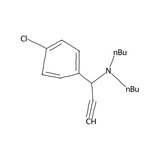 C#CC(c1ccc(Cl)cc1)N(CCCC)CCCC